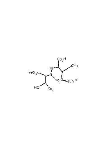 CC(O)C(C(=O)O)N(NC(C(=O)O)C(C)OS(=O)(=O)O)[N+](=O)[O-]